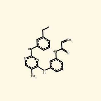 C=CC(=O)Nc1cccc(Nc2nc(Nc3cccc(CI)c3)ncc2C)c1